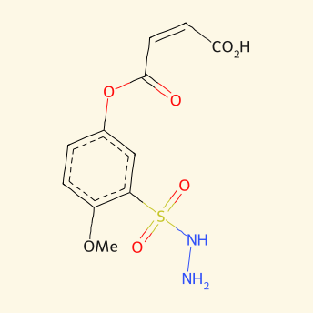 COc1ccc(OC(=O)/C=C\C(=O)O)cc1S(=O)(=O)NN